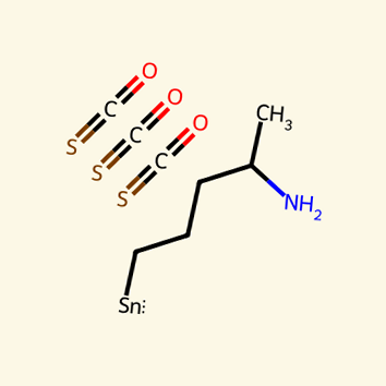 CC(N)CC[CH2][Sn].O=C=S.O=C=S.O=C=S